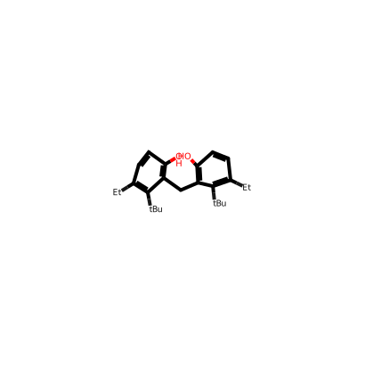 CCc1ccc(O)c(Cc2c(O)ccc(CC)c2C(C)(C)C)c1C(C)(C)C